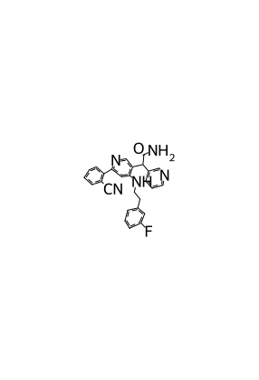 N#Cc1ccccc1-c1cc(NCCc2cccc(F)c2)c(C(C(N)=O)c2cccnc2)cn1